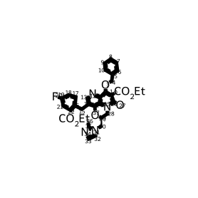 CCOC(=O)c1c(OCc2ccccc2)c2ncc(Cc3ccc(F)cc3)c3c2n(c1=O)C[C@@H](Cn1ccnc1C(=O)OCC)O3